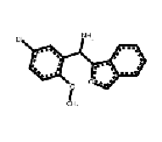 COc1ccc(Cl)cc1C(N)c1occ2ccccc12